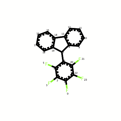 Fc1c(F)c(F)c(C2c3ccccc3-c3ccccc32)c(F)c1F